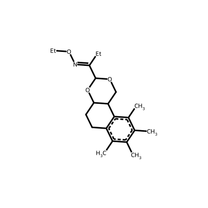 CCON=C(CC)C1OCC2c3c(C)c(C)c(C)c(C)c3CCC2O1